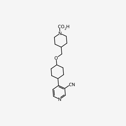 N#Cc1cnccc1C1CCC(OCC2CCN(C(=O)O)CC2)CC1